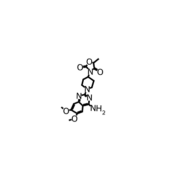 COc1cc2nc(N3CCC(N4C(=O)OC(C)C4=O)CC3)nc(N)c2cc1OC